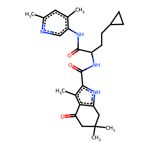 Cc1cc(C)c(NC(=O)C(CCC2CC2)NC(=O)c2[nH]c3c(c2C)C(=O)CC(C)(C)C3)cn1